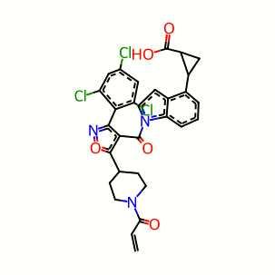 C=CC(=O)N1CCC(c2onc(-c3c(Cl)cc(Cl)cc3Cl)c2C(=O)n2ccc3c(C4CC4C(=O)O)cccc32)CC1